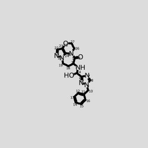 O=C1C(NC(O)c2ncn(Cc3ccccc3)n2)CCn2ncc3c2N1CCO3